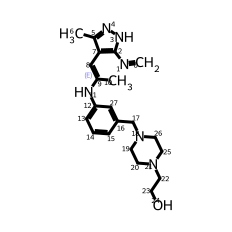 C=Nc1[nH]nc(C)c1/C=C(\C)Nc1cccc(CN2CCN(CCO)CC2)c1